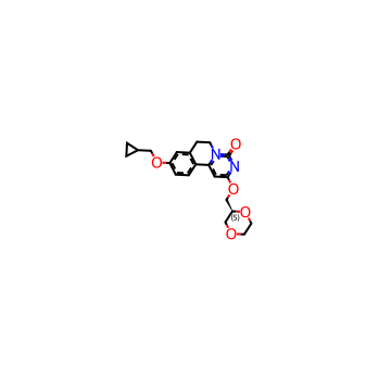 O=c1nc(OC[C@@H]2COCCO2)cc2n1CCc1cc(OCC3CC3)ccc1-2